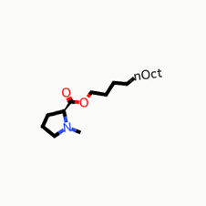 CCCCCCCCCCCCOC(=O)[C@@H]1CCCN1C